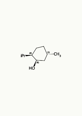 CC(C)[C@H]1CC[C@H](C)C[C@H]1O